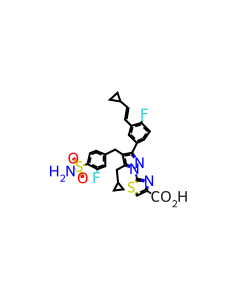 NS(=O)(=O)c1ccc(Cc2c(-c3ccc(F)c(/C=C/C4CC4)c3)nn(-c3nc(C(=O)O)cs3)c2CC2CC2)cc1F